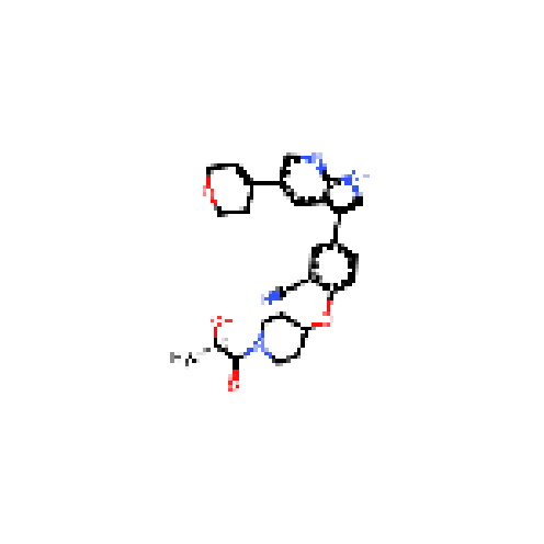 C[C@H](O)C(=O)N1CCC(Oc2ccc(-c3c[nH]c4ncc(C5=CCOCC5)cc34)cc2C#N)CC1